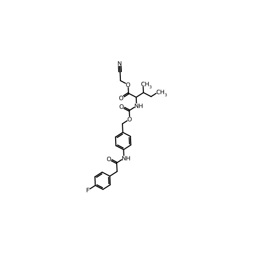 CCC(C)C(NC(=O)OCc1ccc(NC(=O)Cc2ccc(F)cc2)cc1)C(=O)OCC#N